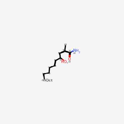 CCCCCCCCCCCCCC(O)CC(C)C(N)=O